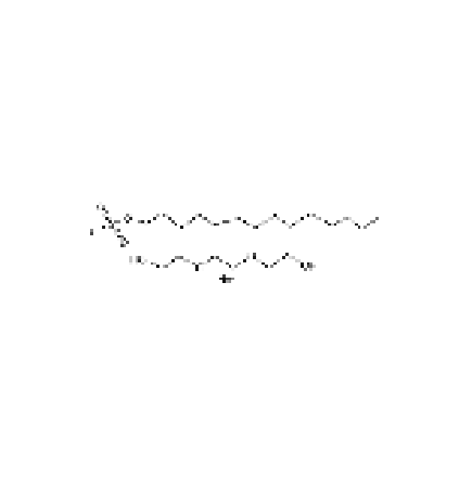 CCCCCCCCCCCCCCOS(=O)(=O)[O-].OCCOCCOCCO.[Na+]